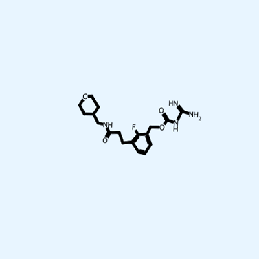 N=C(N)NC(=O)OCc1cccc(CCC(=O)NCC2CCOCC2)c1F